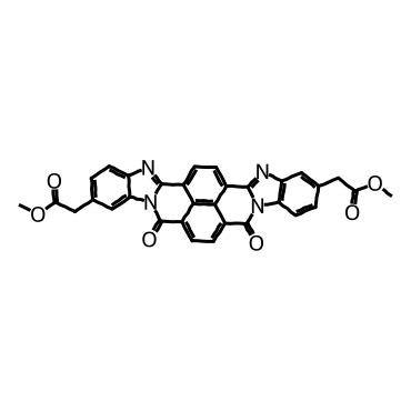 COC(=O)Cc1ccc2c(c1)nc1c3ccc4c5c(ccc(c(=O)n21)c35)c(=O)n1c2cc(CC(=O)OC)ccc2nc41